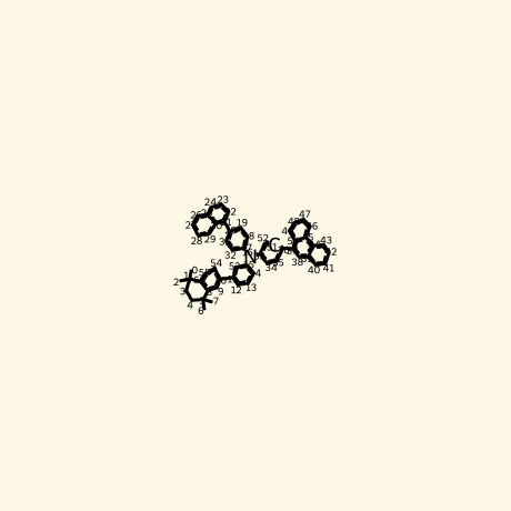 CC1(C)CCC(C)(C)c2cc(-c3cccc(N(c4ccc(-c5cccc6ccccc56)cc4)c4ccc(-c5cc6ccccc6c6ccccc56)cc4)c3)ccc21